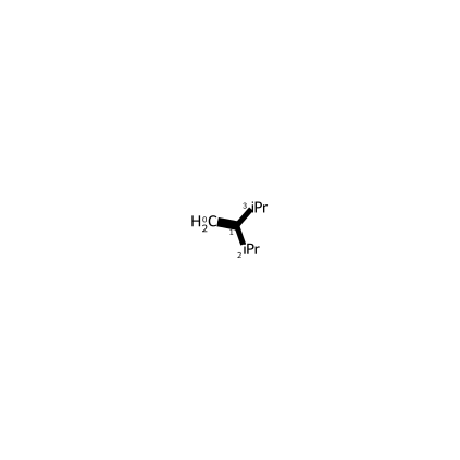 C=C(C(C)C)C(C)C